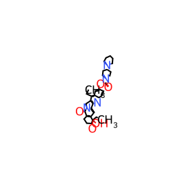 CCc1c2c(nc3ccc(OC(=O)N4CCC(N5CCCCC5)CC4)cc13)-c1cc3c(c(=O)n1C2)CCC(=O)C3(O)CC